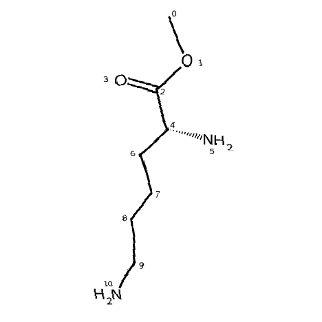 COC(=O)[C@H](N)CCCCN